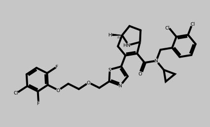 O=C(C1=C(c2cnc(COCCOc3c(F)ccc(Cl)c3F)s2)C[C@@H]2CCC1N2)N(Cc1cccc(Cl)c1Cl)C1CC1